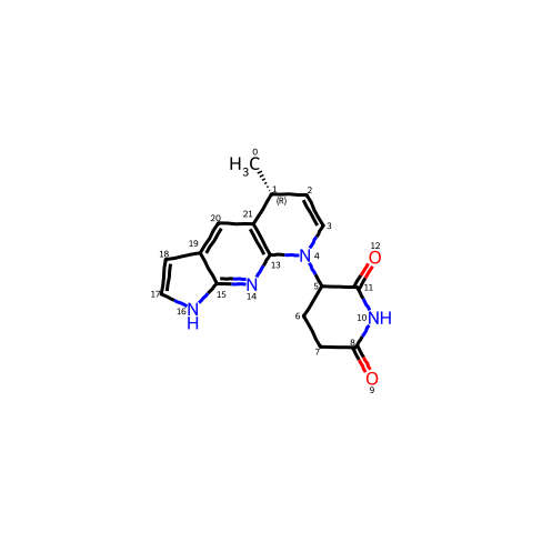 C[C@@H]1C=CN(C2CCC(=O)NC2=O)c2nc3[nH]ccc3cc21